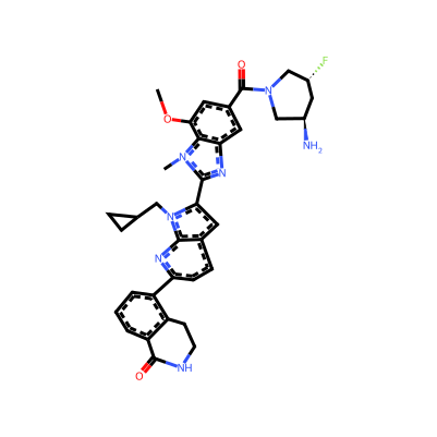 COc1cc(C(=O)N2C[C@H](N)C[C@@H](F)C2)cc2nc(-c3cc4ccc(-c5cccc6c5CCNC6=O)nc4n3CC3CC3)n(C)c12